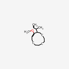 C=CC(C)C1CCCCCCCCCC=C1OC